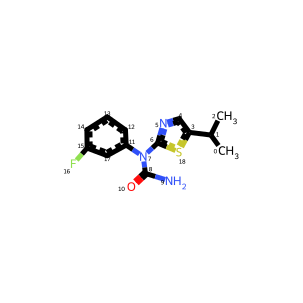 CC(C)c1cnc(N(C(N)=O)c2cccc(F)c2)s1